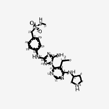 CCc1c(NC2CCNC2)ncnc1-n1nc(Nc2ccc(CS(=O)(=O)NC)cc2)nc1N